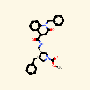 CC(C)(C)OC(=O)N1C[C@@H](CNC(=O)C2CC(=O)N(Cc3ccccc3)c3ccccc32)[C@H](Cc2ccccc2)C1